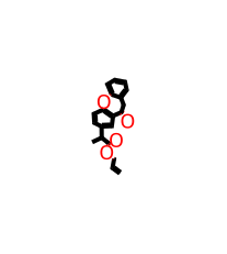 C=CCOC(=O)C(C)c1ccc2c(c1)C(=O)Cc1ccccc1O2